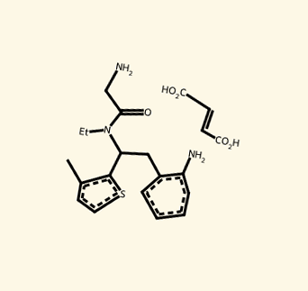 CCN(C(=O)CN)C(Cc1ccccc1N)c1sccc1C.O=C(O)C=CC(=O)O